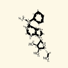 CN(c1ccccc1)c1ncnc2c1ncn2[C@@H]1O[C@H](CO)[C@@H](O)[C@H]1O